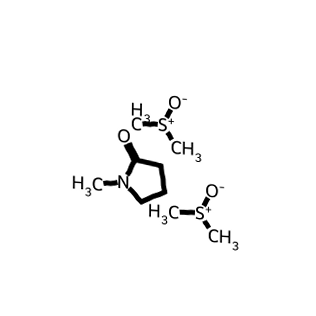 CN1CCCC1=O.C[S+](C)[O-].C[S+](C)[O-]